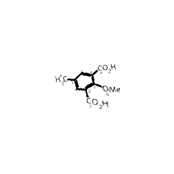 COc1c(C(=O)O)cc(C)cc1C(=O)O